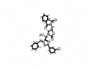 CC(C)[C@H](C1=NC(c2cccc(Cl)c2)CN1Cc1ccccc1)N1CC(CN2C(=O)c3ccccc3C2=O)OC1=O